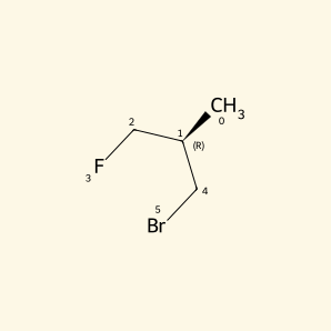 C[C@H](CF)CBr